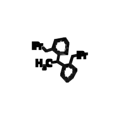 CC(C)Cc1ccccc1C(C)c1ccccc1CC(C)C